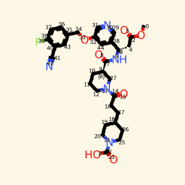 COC(=O)C[C@H](NC(=O)[C@@H]1CCCN(C(=O)CCC2CCN(C(=O)O)CC2)C1)c1cncc(OCc2ccc(F)c(C#N)c2)c1